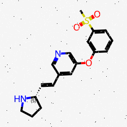 CS(=O)(=O)c1cccc(Oc2cncc(C=C[C@@H]3CCCN3)c2)c1